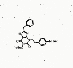 CCCCCCn1c(=O)c2[nH]c(Cc3ccccc3)nc2n(CCc2ccc(NC(C)=O)cc2)c1=O